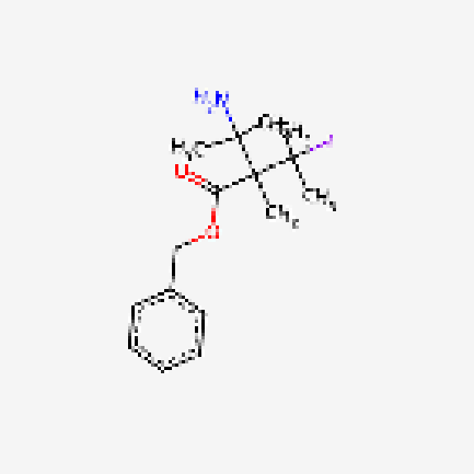 CC(C)(N)C(C)(C(=O)OCc1ccccc1)C(C)(C)I